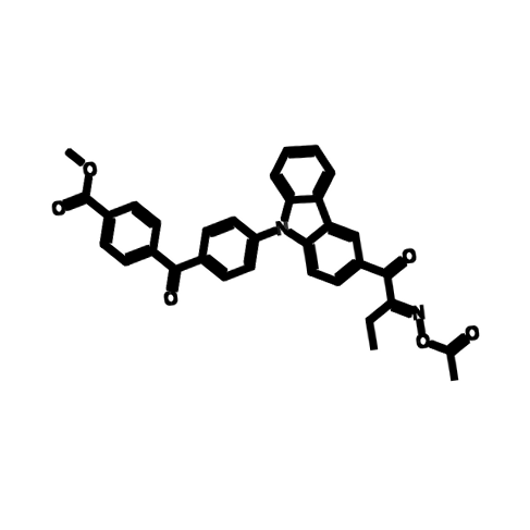 CC/C(=N\OC(C)=O)C(=O)c1ccc2c(c1)c1ccccc1n2-c1ccc(C(=O)c2ccc(C(=O)OC)cc2)cc1